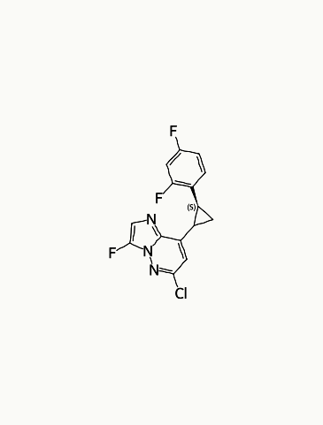 Fc1ccc([C@H]2CC2c2cc(Cl)nn3c(F)cnc23)c(F)c1